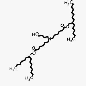 CCCCCCCCC(CCCCCC)COC(=O)CCCCCN(CCCCO)CCCCCC(=O)OC[C@@H](CCCCCC)CCCCCCCC